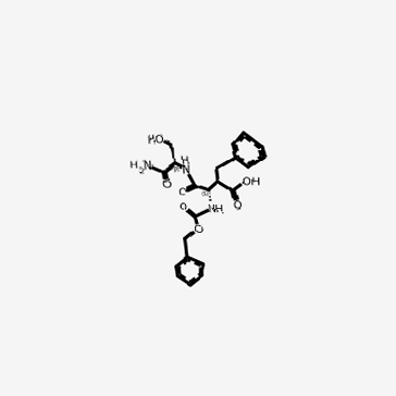 NC(=O)[C@@H](CO)NC(=O)[C@@H](NC(=O)OCc1ccccc1)C(Cc1ccccc1)C(=O)O